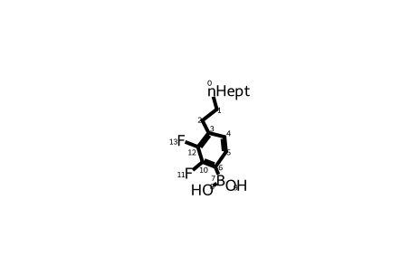 CCCCCCCCCc1ccc(B(O)O)c(F)c1F